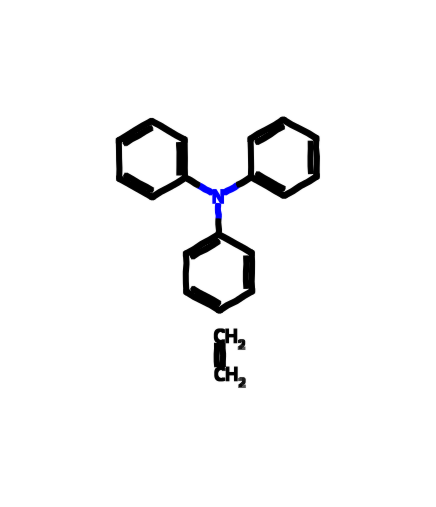 C=C.c1ccc(N(c2ccccc2)c2ccccc2)cc1